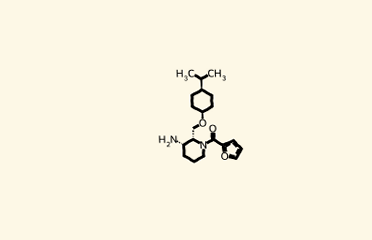 CC(C)[C@H]1CC[C@@H](OC[C@H]2[C@@H](N)CCCN2C(=O)c2ccco2)CC1